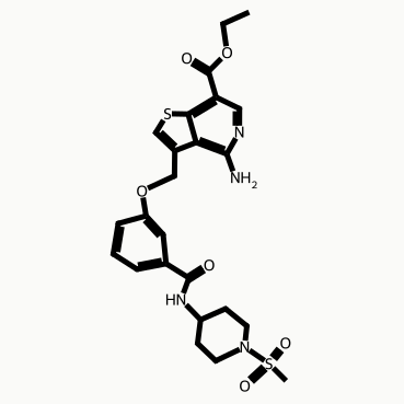 CCOC(=O)c1cnc(N)c2c(COc3cccc(C(=O)NC4CCN(S(C)(=O)=O)CC4)c3)csc12